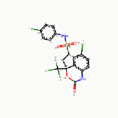 O=C1Nc2ccc(Cl)cc2C(CCS(=O)(=O)Nc2ccc(F)cc2)(C(F)(F)F)O1